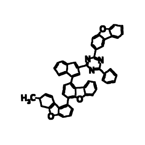 CC1C=Cc2c(oc3cccc(-c4ccc(-c5cc(-c6nc(-c7ccccc7)nc(-c7ccc8oc9ccccc9c8c7)n6)cc6ccccc56)c5c4oc4ccccc45)c23)C1